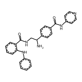 NC(CNC(=O)c1ccccc1Nc1ccccc1)c1ccc(C(=O)Nc2ccncc2)cc1